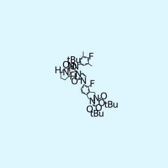 Cc1cc(-n2nc3c(c2-n2ccn(-c4ccc5c(c4F)CN(C(=O)OC(C)(C)C)N(C(=O)OC(C)(C)C)C5)c2=O)[C@@H]2CC[C@H](C3)N2C(=O)OC(C)(C)C)cc(C)c1F